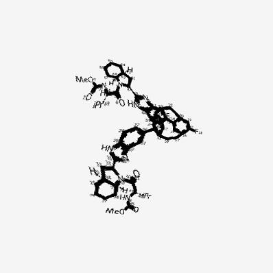 COC(=O)N[C@H](C(=O)N1[C@H](c2nc3cc(-c4cc5c(F)cc4CCc4cc(-c6ccc7[nH]c([C@@H]8C[C@@H]9CCCC[C@@H]9N8C(=O)[C@@H](NC(=O)OC)C(C)C)nc7c6)c(cc4F)CC5)ccc3[nH]2)C[C@@H]2CCCC[C@@H]21)C(C)C